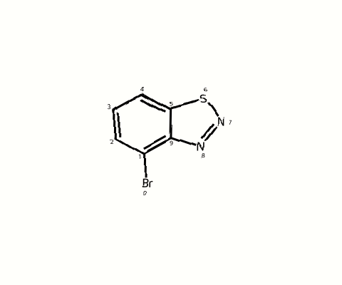 Brc1cccc2snnc12